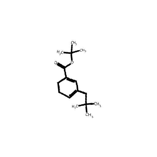 CC(C)(C)CC1=CCCC(C(=O)OC(C)(C)C)=C1